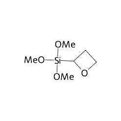 CO[Si](OC)(OC)C1CCO1